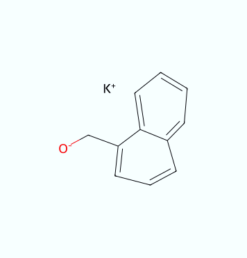 [K+].[O-]Cc1cccc2ccccc12